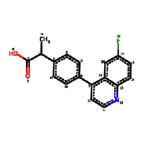 CC(C(=O)O)c1ccc(-c2ccnc3ccc(F)cc23)cc1